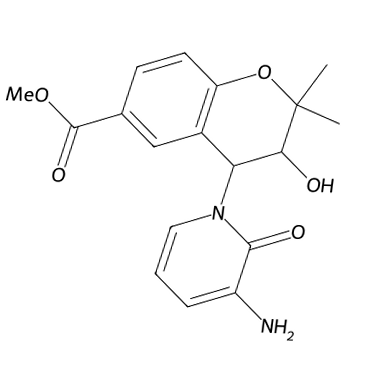 COC(=O)c1ccc2c(c1)C(n1cccc(N)c1=O)C(O)C(C)(C)O2